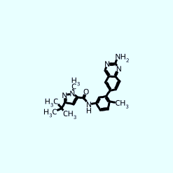 Cc1ccc(NC(=O)c2cc(C(C)(C)C)nn2C)cc1-c1ccc2nc(N)ncc2c1